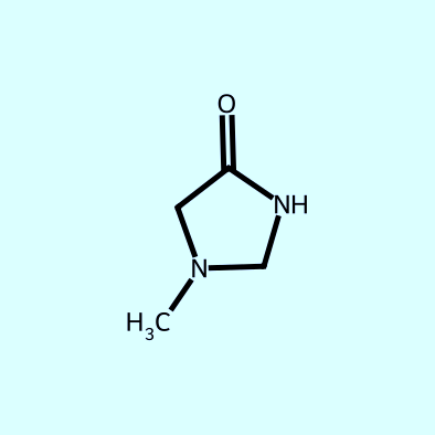 CN1CNC(=O)C1